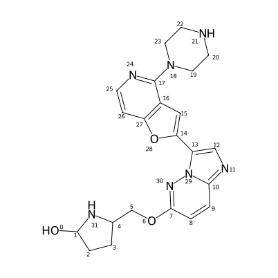 OC1CCC(COc2ccc3ncc(-c4cc5c(N6CCNCC6)nccc5o4)n3n2)N1